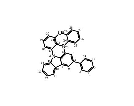 c1ccc(-c2cc3c4c(c2)c2ccccc2n4-c2cccc4c2B3c2ccccc2O4)cc1